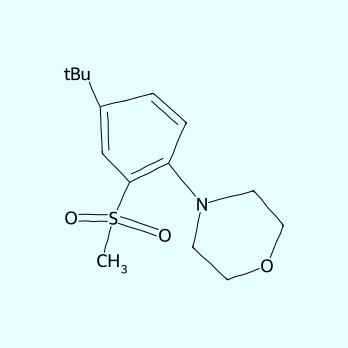 CC(C)(C)c1ccc(N2CCOCC2)c(S(C)(=O)=O)c1